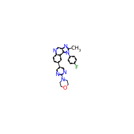 Cc1nc2cnc3ccc(-c4cnc(N5CCOCC5)nc4)cc3c2n1-c1ccc(F)cc1